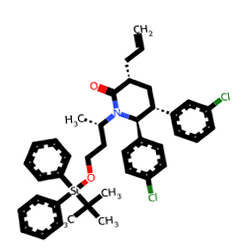 C=CC[C@@H]1C[C@H](c2cccc(Cl)c2)[C@@H](c2ccc(Cl)cc2)N([C@@H](C)CCO[Si](c2ccccc2)(c2ccccc2)C(C)(C)C)C1=O